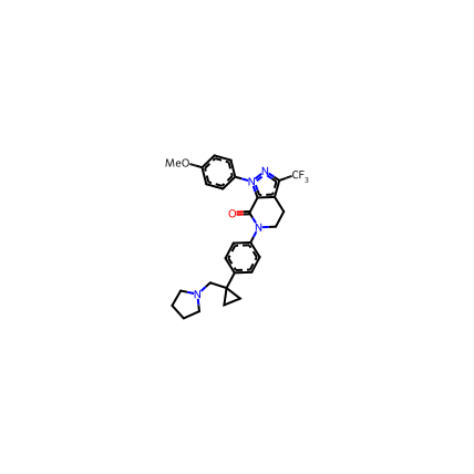 COc1ccc(-n2nc(C(F)(F)F)c3c2C(=O)N(c2ccc(C4(CN5CCCC5)CC4)cc2)CC3)cc1